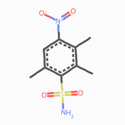 Cc1cc([N+](=O)[O-])c(C)c(C)c1S(N)(=O)=O